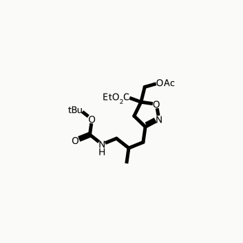 CCOC(=O)C1(COC(C)=O)CC(CC(C)CNC(=O)OC(C)(C)C)=NO1